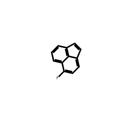 Fc1ccc2c3c(cccc13)C=C2